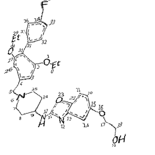 CCOc1cc(CN2CCC(Nc3nc4cc(OCCO)ccc4o3)CC2)cc(OCC)c1-c1ccc(F)cc1